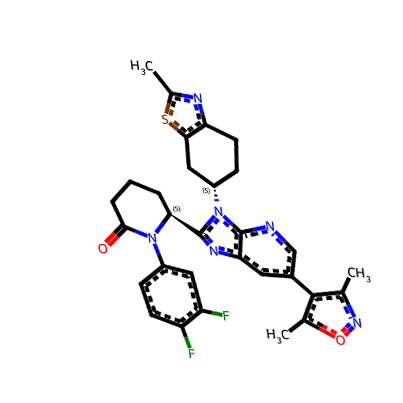 Cc1nc2c(s1)C[C@@H](n1c([C@@H]3CCCC(=O)N3c3ccc(F)c(F)c3)nc3cc(-c4c(C)noc4C)cnc31)CC2